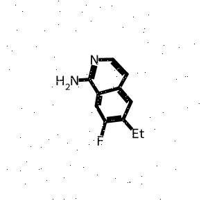 CCc1cc2ccnc(N)c2cc1F